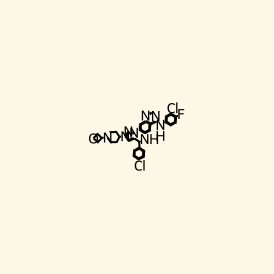 Fc1ccc(Nc2ncnc3ccc(N[C@@H](c4ccc(Cl)cc4)c4cn(C5CCN(C6COC6)CC5)nn4)cc23)cc1Cl